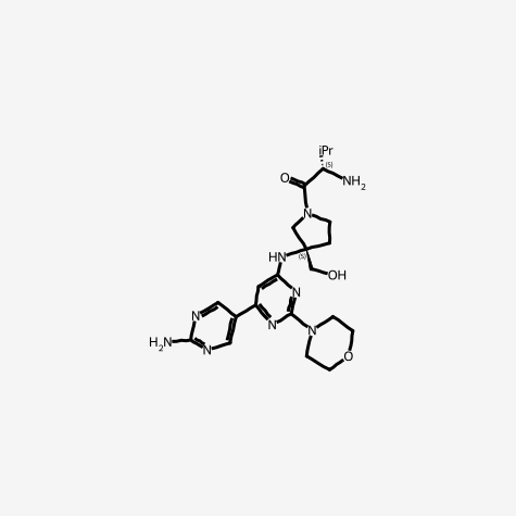 CC(C)[C@H](N)C(=O)N1CC[C@](CO)(Nc2cc(-c3cnc(N)nc3)nc(N3CCOCC3)n2)C1